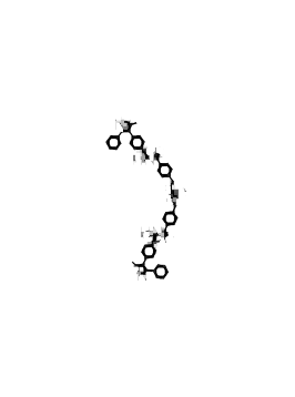 Cc1onc(-c2ccccc2)c1-c1ccc(S(=O)(=O)NC(=O)c2ccc(CO[N+](=O)OCc3ccc(C(=O)NS(=O)(=O)c4ccc(-c5c(-c6ccccc6)noc5C)cc4)cc3)cc2)cc1